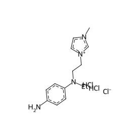 CCN(CC[n+]1ccn(C)c1)c1ccc(N)cc1.Cl.Cl.[Cl-]